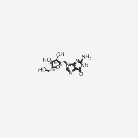 Nc1nc2c(ncn2C[C@@H]2O[C@H](CO)[C@@H](O)[C@H]2O)c(=O)[nH]1